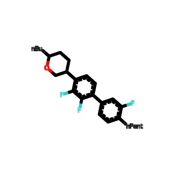 CCCCCc1ccc(-c2ccc(C3CCC(CCCC)OC3)c(F)c2F)cc1F